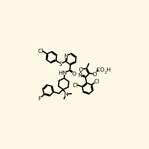 CN(C)C1(Cc2cccc(F)c2)CCC(NC(=O)c2cccnc2Sc2ccc(Cl)cc2)CC1.Cc1onc(-c2c(Cl)cccc2Cl)c1OC(=O)O